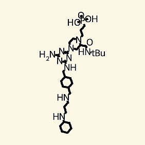 CC(C)(C)NC(=O)C1CN(c2nc(N)nc(NCC3CCC(CNCCCNC4CCCCC4)CC3)n2)CCN1CCCP(=O)(O)O